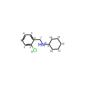 Clc1ccccc1CNC1CCCCC1